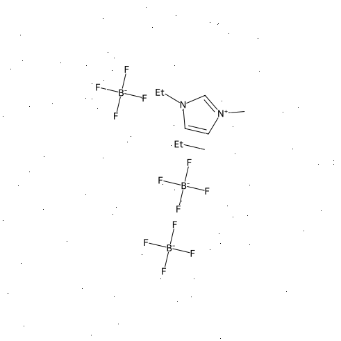 CCC.CCn1cc[n+](C)c1.F[B-](F)(F)F.F[B-](F)(F)F.F[B-](F)(F)F